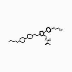 C=C(C)C(=O)OCc1cc(CCC2CCC(C3CCC(CCCCC)CC3)CC2)ccc1-c1ccc(OCCO)cc1